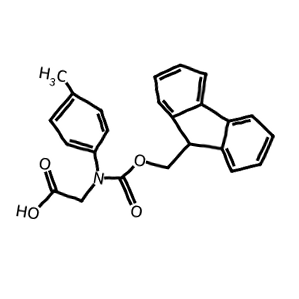 Cc1ccc(N(CC(=O)O)C(=O)OCC2c3ccccc3-c3ccccc32)cc1